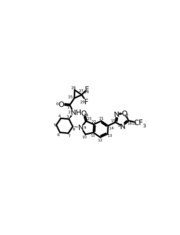 O=C(N[C@@H]1CCCC[C@H]1N1Cc2ccc(-c3noc(C(F)(F)F)n3)cc2C1=O)C1CC1(F)F